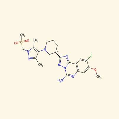 COc1cc2nc(N)n3nc([C@@H]4CCCN(c5c(C)nn(CS(C)(=O)=O)c5C)C4)nc3c2cc1F